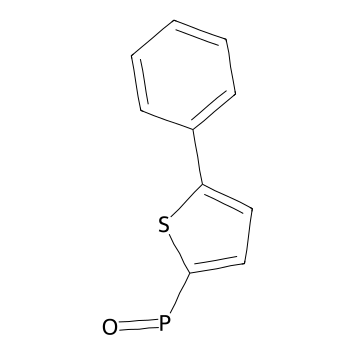 O=Pc1ccc(-c2ccccc2)s1